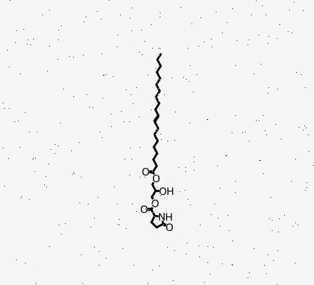 CCCCCCCCCCC=CCCCCCCCC(=O)OCC(O)COC(=O)C1CCC(=O)N1